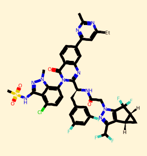 CCc1cc(-c2ccc3c(=O)n(-c4ccc(Cl)c5c(NS(C)(=O)=O)nn(C)c45)c([C@H](Cc4cc(F)cc(F)c4)NC(=O)Cn4nc(C(F)F)c5c4C(F)(F)[C@@H]4C[C@H]54)nc3c2)nc(C)n1